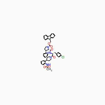 CS(=O)(=O)Nc1ccccc1C1CCN(C(=O)[C@@H](Cc2ccc(Cl)cc2)NC(=O)[C@@H]2[C@@H](c3ccccc3)CCN2C(=O)OCC2c3ccccc3-c3ccccc32)CC1